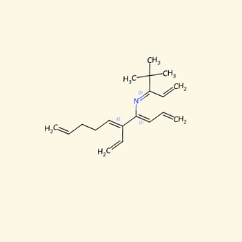 C=C/C=C(\N=C(/C=C)C(C)(C)C)C(/C=C)=C/CCC=C